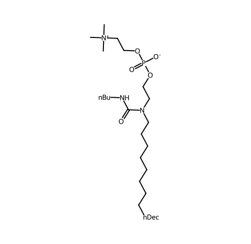 CCCCCCCCCCCCCCCCCCN(CCOP(=O)([O-])OCC[N+](C)(C)C)C(=O)NCCCC